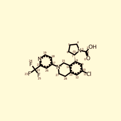 O=C(O)N1CCC[C@H]1c1cc(Cl)cc2c1CN(c1ccnc(C(F)(F)F)c1)CC2